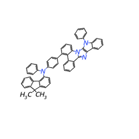 CC1(C)c2ccccc2-c2c(N(c3ccccc3)c3ccc(-c4cccc5c4c4ccccc4c4nc6c7ccccc7n(-c7ccccc7)c6n54)cc3)cccc21